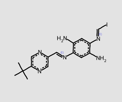 CC(C)(C)c1cnc(/C=N/c2cc(N)c(/N=C/I)cc2N)cn1